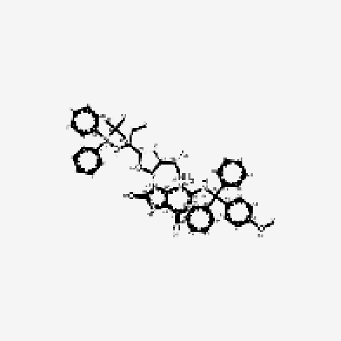 CC[C@H](O[Si](c1ccccc1)(c1ccccc1)C(C)(C)C)[C@@H]1C[C@@H]([C@H](C)N)[C@H](n2c(=O)sc3c(=O)[nH]c(NC(c4ccccc4)(c4ccccc4)c4ccc(OC)cc4)nc32)O1